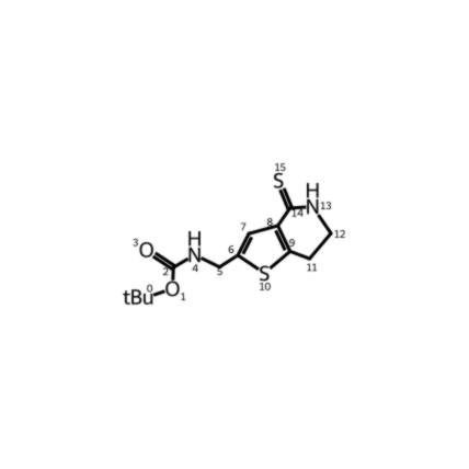 CC(C)(C)OC(=O)NCc1cc2c(s1)CCNC2=S